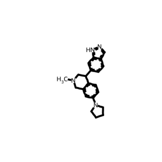 CN1Cc2cc(N3CCCC3)ccc2C(c2ccc3cn[nH]c3c2)C1